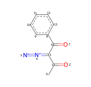 CC(=O)C(=[N+]=[N-])C(=O)c1ccccc1